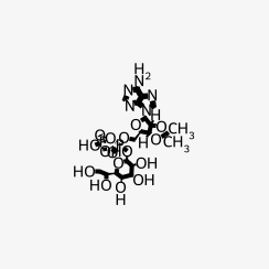 CC1(C)O[C@@H]2[C@H](O1)[C@@H](COP(=O)(O[C@@H]1O[C@H](C(O)CO)[C@@H](O)[C@H](O)[C@@H]1O)OP(=O)(O)O)O[C@H]2n1cnc2c(N)ncnc21